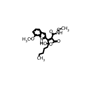 CCCCCC1(O)OC(=O)C(C(=O)NOC)=C1c1cc2cccc(OC)c2[nH]1